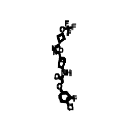 O=C(COc1ccc(Cl)c(F)c1)NC1CC2OC1CC2c1nnc([C@H]2C[C@@H](OC(F)(F)F)C2)o1